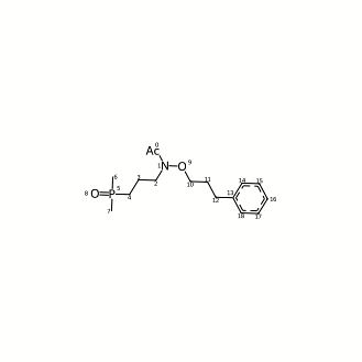 CC(=O)N(CCCP(C)(C)=O)OCCCc1ccccc1